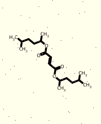 CC(C)CCC(C)OC(=O)/C=C/C(=O)OC(C)CCC(C)C